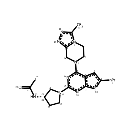 CCCc1cc2c(N3CCn4c(nnc4C(F)(F)F)C3)nc(N3CC[C@H](NC(=O)I)C3)nc2s1